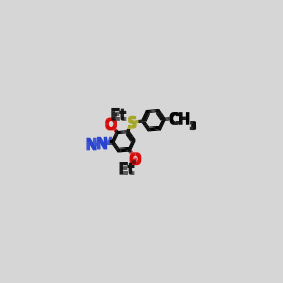 CCOC1=CC(=[N+]=[N-])C(OCC)C(Sc2ccc(C)cc2)=C1